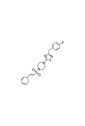 O=S(=O)(/C=C/C1C=CC=CC1)N1CCN(c2nc(Cc3ccc(F)cc3)ns2)CC1